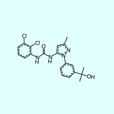 Cc1cc(NC(=O)Nc2cccc(Cl)c2Cl)n(-c2cccc(C(C)(C)O)c2)n1